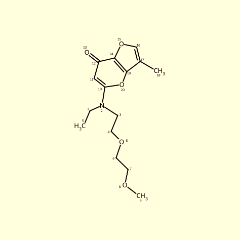 CCN(CCOCCOC)c1cc(=O)c2occ(C)c2o1